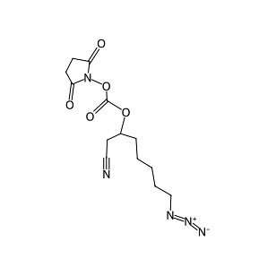 N#CCC(CCCCCN=[N+]=[N-])OC(=O)ON1C(=O)CCC1=O